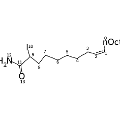 CCCCCCCC/C=C\CCCCCCC(I)C(N)=O